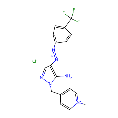 C[n+]1ccc(Cn2ncc(/N=N/c3ccc(C(F)(F)F)cc3)c2N)cc1.[Cl-]